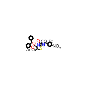 CCOC(=O)[C@]1(N=Cc2ccc([N+](=O)[O-])cc2)C(=O)N2C(C(=O)OC(c3ccccc3)c3ccccc3)=C(COC(C)=O)CS[C@@H]21